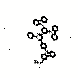 CCC(C)Cc1ccc2c(c1)c1ccccc1n2-c1ccc(-c2cc(-c3cc(-n4c5ccccc5c5ccccc54)cc(-n4c5ccccc5c5ccccc54)c3)nc(-c3ccccc3)n2)cc1